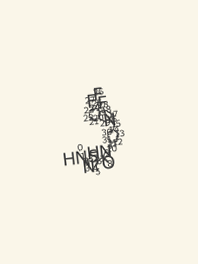 CNc1nc(C)c(C(=O)NCc2ccc(CN3CCc4c(cccc4C(F)(F)F)C3)cc2)s1